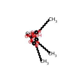 CCCCCCCCCCCCOc1ccc(C(=O)OCC(COC(C)=O)(COC(=O)c2ccc(OCCCCCCCCCCCC)cc2)COC(O)c2ccc(OCCCCCCCCCCCC)cc2)cc1